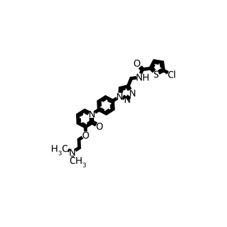 CN(C)CCOc1cccn(-c2ccc(-n3cc(CNC(=O)c4ccc(Cl)s4)nn3)cc2)c1=O